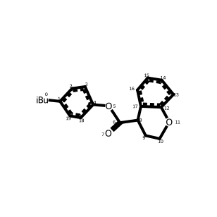 CCC(C)c1ccc(OC(=O)C2CCOc3ccccc32)cc1